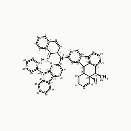 CC1c2ccccc2C=CC1N(c1ccc2c(c1)C1=C3C=CC=C[C@H]3[C@H](C)c3cccc-2c31)c1ccc2c3ccccc3n(-c3ccccc3)c2c1